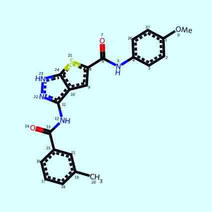 COc1ccc(NC(=O)c2cc3c(NC(=O)c4cccc(C)c4)n[nH]c3s2)cc1